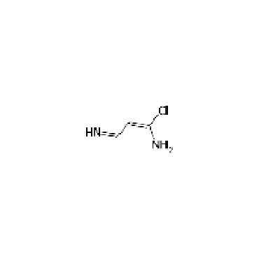 N=C/C=C(\N)Cl